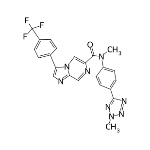 CN(C(=O)c1cn2c(-c3ccc(C(F)(F)F)cc3)cnc2cn1)c1ccc(-c2nnn(C)n2)cc1